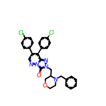 O=c1n(CC2COCCN2Cc2ccccc2)nc2c(-c3ccc(Cl)cc3)c(-c3ccc(Cl)cc3)cnn12